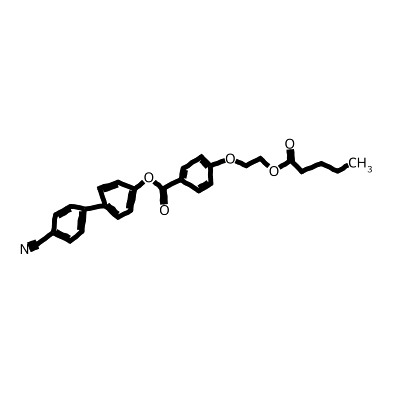 CCCCC(=O)OCCOc1ccc(C(=O)Oc2ccc(-c3ccc(C#N)cc3)cc2)cc1